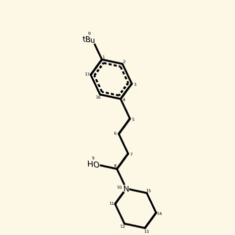 CC(C)(C)c1ccc(CCCC(O)N2CCCCC2)cc1